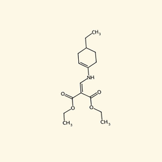 CCOC(=O)C(=CNC1=CCC(CC)CC1)C(=O)OCC